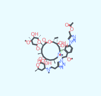 CC[C@H]1OC(=O)[C@H](C)[C@@H](O[C@H]2C[C@@](C)(OC)[C@@H](O)[C@H](C)O2)[C@H](C)[C@@H](O[C@@H]2O[C@H](C)C[C@H](N(C)CCc3cn([C@H](CF)[C@H](OC)c4ccc(-n5cc(COC(C)=O)nn5)cc4)nn3)[C@H]2O)[C@](C)(O)C[C@H](C)CN(C)[C@H](C)[C@@H](O)[C@]1(C)O